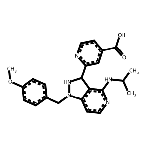 COc1ccc(CN2NC(c3cc(C(=O)O)ccn3)c3c2ccnc3NC(C)C)cc1